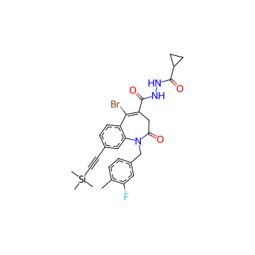 Cc1ccc(CN2C(=O)CC(C(=O)NNC(=O)C3CC3)=C(Br)c3ccc(C#C[Si](C)(C)C)cc32)cc1F